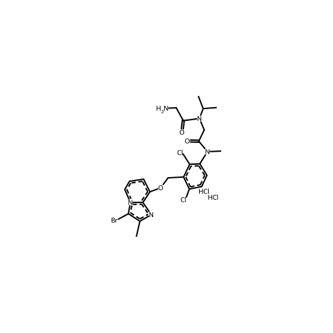 Cc1nc2c(OCc3c(Cl)ccc(N(C)C(=O)CN(C(=O)CN)C(C)C)c3Cl)cccn2c1Br.Cl.Cl